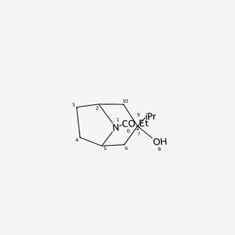 CCOC(=O)N1C2CCC1CC(O)(C(C)C)C2